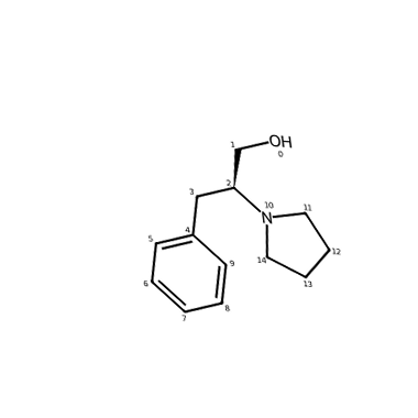 OC[C@H](Cc1ccccc1)N1CCCC1